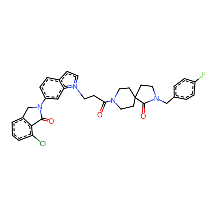 O=C(CCn1ccc2ccc(N3Cc4cccc(Cl)c4C3=O)cc21)N1CCC2(CC1)CCN(Cc1ccc(F)cc1)C2=O